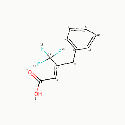 O=C(O)/C=C(/Cc1ccccc1)C(F)(F)F